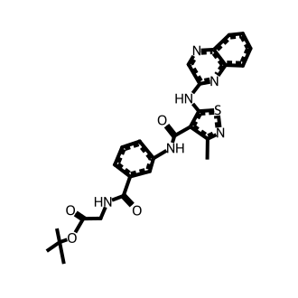 Cc1nsc(Nc2cnc3ccccc3n2)c1C(=O)Nc1cccc(C(=O)NCC(=O)OC(C)(C)C)c1